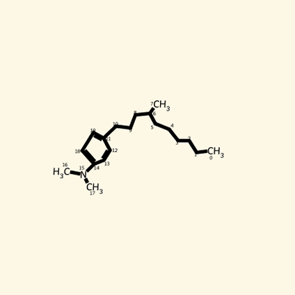 CCCCCCC(C)CCCc1ccc(N(C)C)cc1